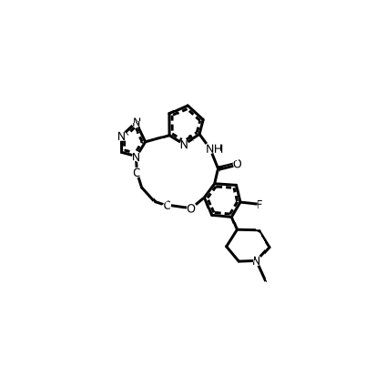 CN1CCC(c2cc3c(cc2F)C(=O)Nc2cccc(n2)-c2nncn2CCCCO3)CC1